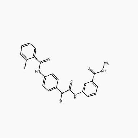 NNC(=O)c1cccc(NC(=O)N(S)c2ccc(NC(=O)c3ccccc3F)cc2)c1